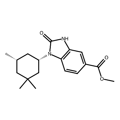 COC(=O)c1ccc2c(c1)[nH]c(=O)n2[C@H]1C[C@@H](C)CC(C)(C)C1